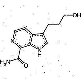 NC(=O)c1nccc2c(C[CH]CO)c[nH]c12